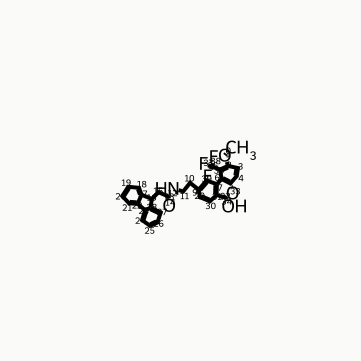 COc1cccc(-c2cc(CCNC(=O)CC3c4ccccc4-c4ccccc43)ccc2C(=O)O)c1C(F)(F)F